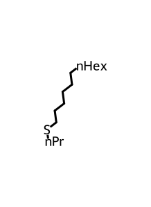 [CH2]CCSCCCCCCCCCCCC